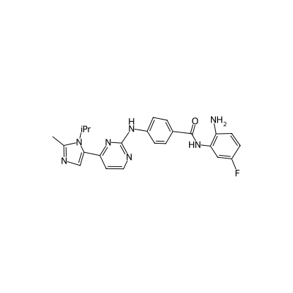 Cc1ncc(-c2ccnc(Nc3ccc(C(=O)Nc4cc(F)ccc4N)cc3)n2)n1C(C)C